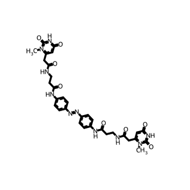 Cn1c(CC(=O)NCCC(=O)Nc2ccc(/N=N/c3ccc(NC(=O)CCNC(=O)Cc4cc(=O)[nH]c(=O)n4C)cc3)cc2)cc(=O)[nH]c1=O